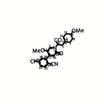 COc1cn(C(CC2CCC(OC)CC2)C(=O)O)c(=O)cc1-c1cc(Cl)ccc1C#N